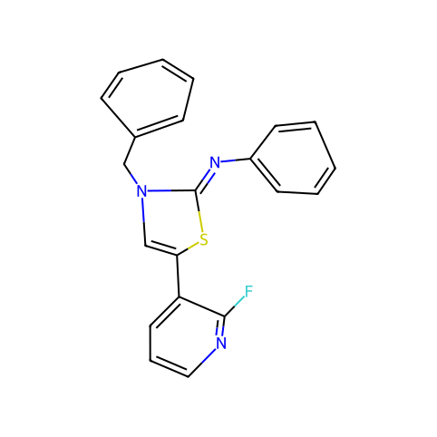 Fc1ncccc1-c1cn(Cc2ccccc2)c(=Nc2ccccc2)s1